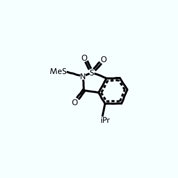 CSN1C(=O)c2c(C(C)C)cccc2S1(=O)=O